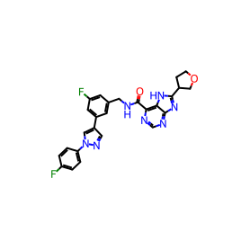 O=C(NCc1cc(F)cc(-c2cnn(-c3ccc(F)cc3)c2)c1)c1ncnc2nc(C3CCOC3)[nH]c12